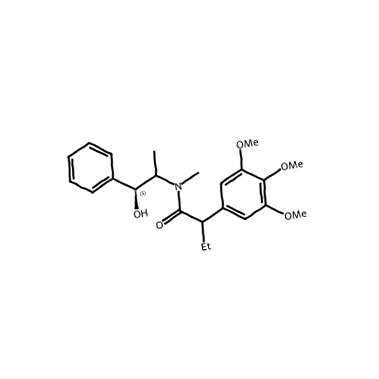 CCC(C(=O)N(C)C(C)[C@@H](O)c1ccccc1)c1cc(OC)c(OC)c(OC)c1